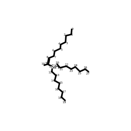 CCCCCCCCC=C(C)[SiH](CCCCCCCC)CCCCCCCC